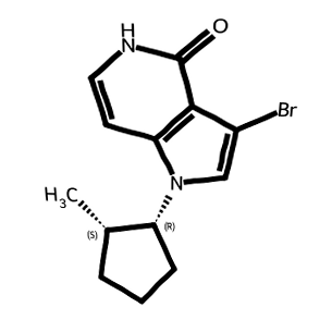 C[C@H]1CCC[C@H]1n1cc(Br)c2c(=O)[nH]ccc21